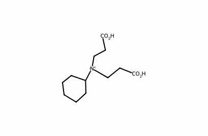 O=C(O)CC[N+](CCC(=O)O)C1CCCCC1